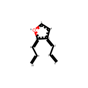 C=C/C=c1/cco/c1=C/C=C